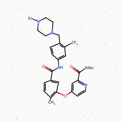 CCN1CCN(Cc2ccc(NC(=O)c3ccc(C)c(Oc4ccnc(C(=O)NC)c4)c3)cc2C(F)(F)F)CC1